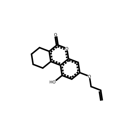 C=CCOc1cc(O)c2c3c(c(=O)oc2c1)CCCC3